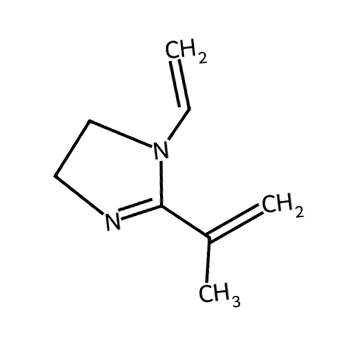 C=CN1CCN=C1C(=C)C